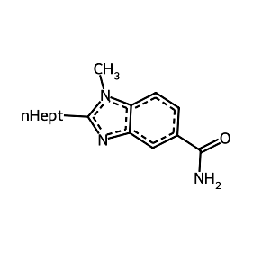 CCCCCCCc1nc2cc(C(N)=O)ccc2n1C